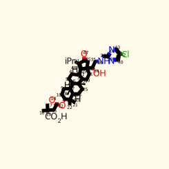 CC(C)C1=C2[C@H]3CC[C@@H]4[C@@]5(C)CC[C@H](OC(=O)CC(C)(C)C(=O)O)C(C)(C)[C@@H]5CC[C@@]4(C)[C@]3(C)CCC2(C(O)CNCc2ncc(Cl)cn2)CC1=O